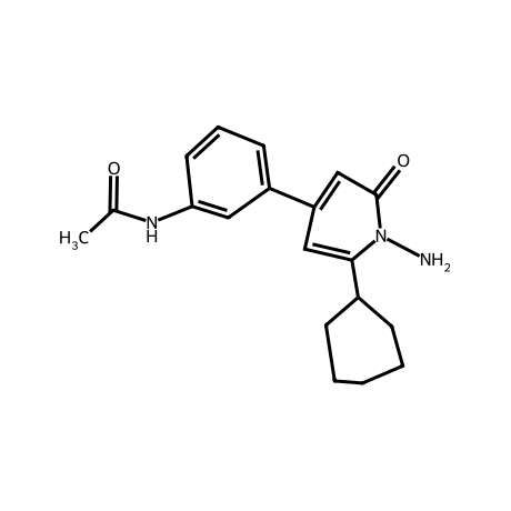 CC(=O)Nc1cccc(-c2cc(C3CCCCC3)n(N)c(=O)c2)c1